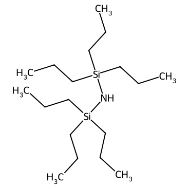 CCC[Si](CCC)(CCC)N[Si](CCC)(CCC)CCC